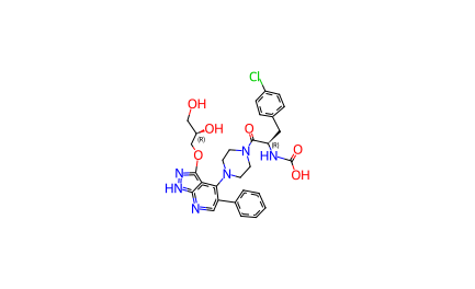 O=C(O)N[C@H](Cc1ccc(Cl)cc1)C(=O)N1CCN(c2c(-c3ccccc3)cnc3[nH]nc(OC[C@H](O)CO)c23)CC1